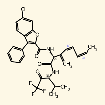 C=C(/C=C\C=C/C)[C@H](NC(=O)c1oc2cc(Cl)ccc2c1-c1ccccc1)C(=O)N[C@H](C(=O)C(F)(F)F)C(C)C